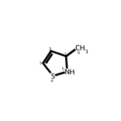 CC1[C]=CSN1